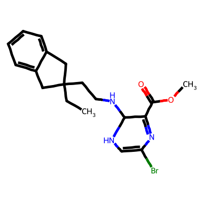 CCC1(CCNC2NC=C(Br)N=C2C(=O)OC)Cc2ccccc2C1